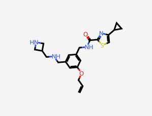 C=CCOc1cc(CNCC2CNC2)cc(CNC(=O)c2nc(C3CC3)cs2)c1